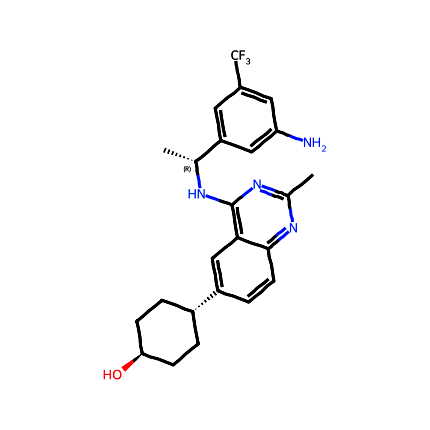 Cc1nc(N[C@H](C)c2cc(N)cc(C(F)(F)F)c2)c2cc([C@H]3CC[C@H](O)CC3)ccc2n1